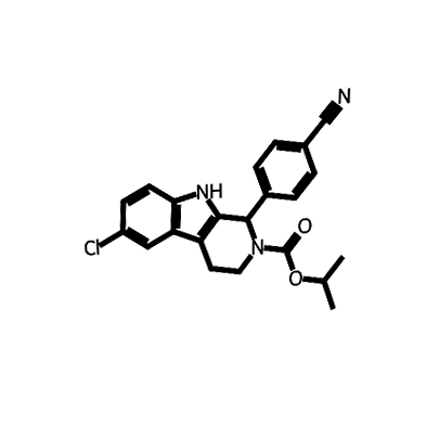 CC(C)OC(=O)N1CCc2c([nH]c3ccc(Cl)cc23)C1c1ccc(C#N)cc1